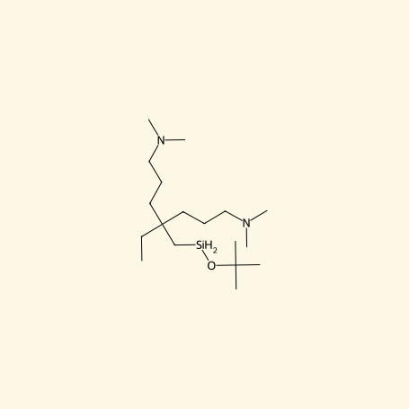 CCC(CCCN(C)C)(CCCN(C)C)C[SiH2]OC(C)(C)C